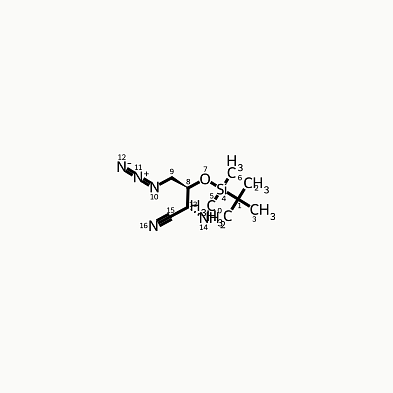 CC(C)(C)[Si](C)(C)O[C@H](CN=[N+]=[N-])[C@H](N)C#N